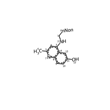 CCCCCCCCCCNc1cc(C)nc2ccc(O)cc12